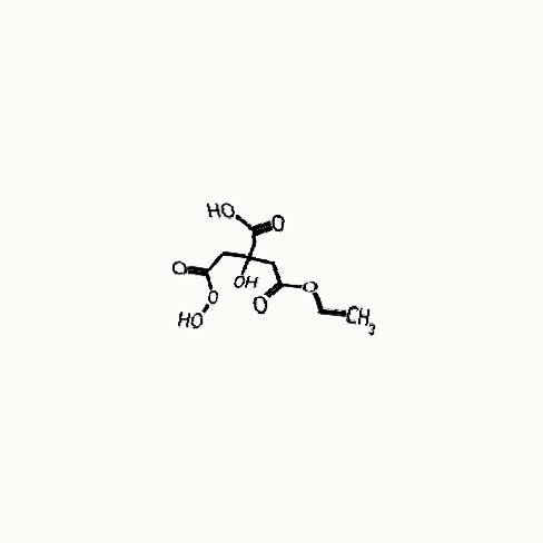 CCOC(=O)CC(O)(CC(=O)OO)C(=O)O